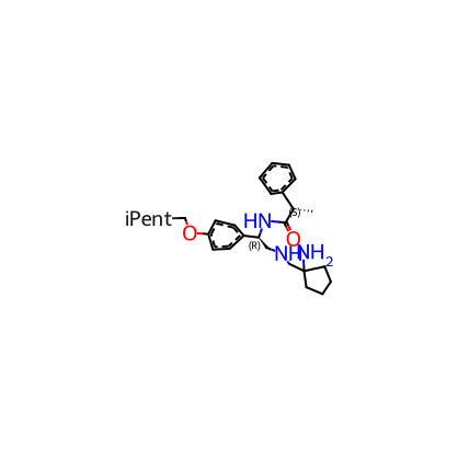 CCCC(C)COc1ccc([C@H](CNCC2(N)CCCC2)NC(=O)[C@@H](C)c2ccccc2)cc1